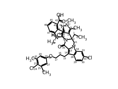 CC[C@@]1(c2c(C)nn(C)c2C)Cn2c(c(CCCOc3cc(C)c(Cl)c(C)c3)c3ccc(Cl)cc32)C(=O)N1c1cc2c(C(=O)O)cccc2n1C